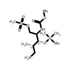 C[C@@H](CN)[C@@H](O[Si](C)(C)C(C)(C)C)C(COS(C)(=O)=O)NC(=O)OC(C)(C)C